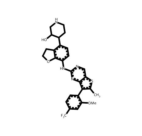 COc1cc(C(F)(F)F)ccc1-c1c(C)sc2cnc(Nc3ccc(C4CCNCC4O)c4c3OCC4)nc12